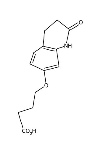 O=C(O)CCCOc1ccc2c(c1)NC(=O)CC2